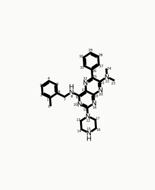 Cc1ccccc1CNc1nc(N2CCNCC2)nc2nc(N(C)C)c(-c3ccccc3)nc12